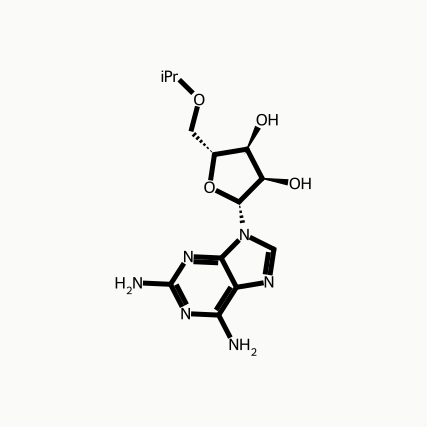 CC(C)OC[C@H]1O[C@@H](n2cnc3c(N)nc(N)nc32)[C@H](O)[C@@H]1O